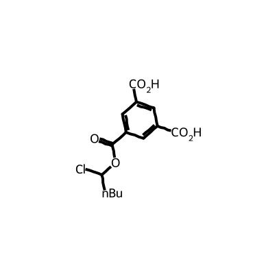 CCCCC(Cl)OC(=O)c1cc(C(=O)O)cc(C(=O)O)c1